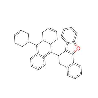 C1=CCC(C2=c3ccccc3=C(C3Cc4ccccc4-c4oc5ccccc5c43)C3CC=CCC23)CC1